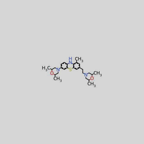 Cc1cc(CCN2CC(C)OC(C)C2)cc2c1Nc1ccc(N3CC(C)OC(C)C3)cc1S2